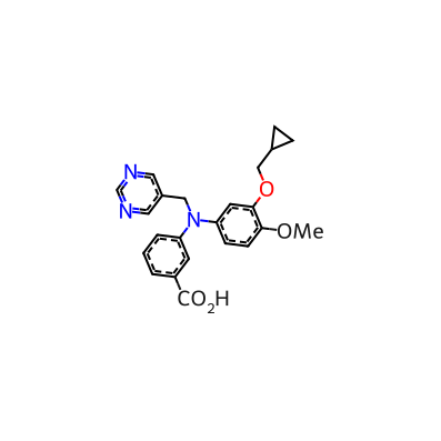 COc1ccc(N(Cc2cncnc2)c2cccc(C(=O)O)c2)cc1OCC1CC1